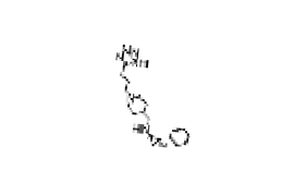 c1ccc([C@@H]2C[C@H]2NCC2CCN(CCCc3nnn[nH]3)CC2)cc1